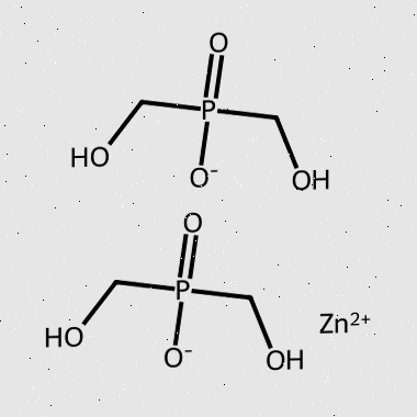 O=P([O-])(CO)CO.O=P([O-])(CO)CO.[Zn+2]